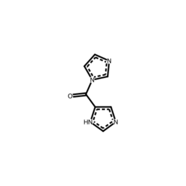 O=C(c1cnc[nH]1)n1ccnc1